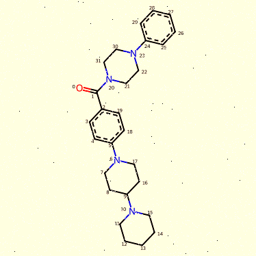 O=C(c1ccc(N2CCC(N3CCCCC3)CC2)cc1)N1CCN(c2ccccc2)CC1